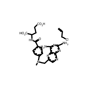 C=CCCl.CN(Cc1cnc2nc(N)nc(N)c2n1)c1ccc(C(=O)NC(CCC(=O)O)C(=O)O)cc1